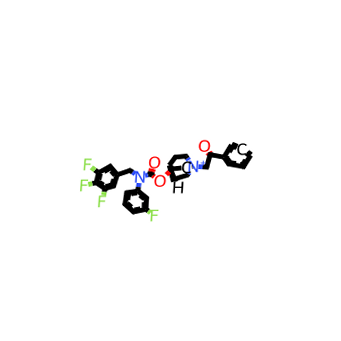 O=C(C[N+]12CCC(CC1)[C@@H](OC(=O)N(Cc1cc(F)c(F)c(F)c1)c1cccc(F)c1)C2)c1ccccc1